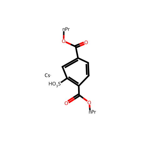 CCCOC(=O)c1ccc(C(=O)OCCC)c(S(=O)(=O)O)c1.[Cs]